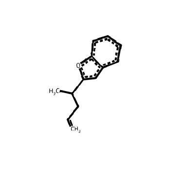 C=CCC(C)c1cc2ccccc2o1